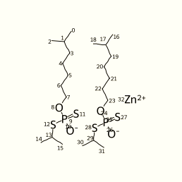 CC(C)CCCCCOP([O-])(=S)SC(C)C.CC(C)CCCCCOP([O-])(=S)SC(C)C.[Zn+2]